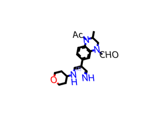 CC(=O)N1c2ccc(/C(C=N)=C/NC3CCOCC3)cc2N(C=O)CC1C